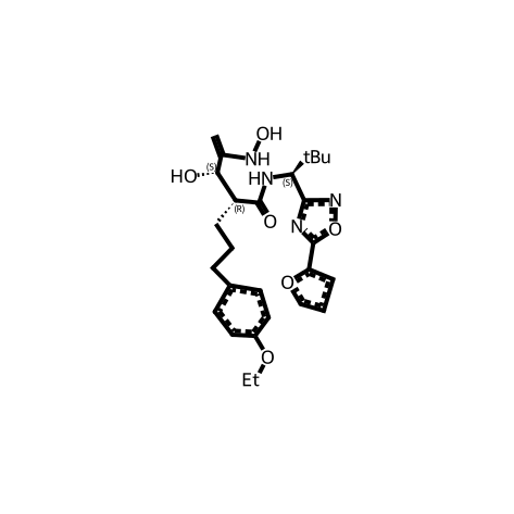 C=C(NO)[C@@H](O)[C@@H](CCCc1ccc(OCC)cc1)C(=O)N[C@H](c1noc(-c2ccco2)n1)C(C)(C)C